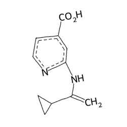 C=C(Nc1cc(C(=O)O)ccn1)C1CC1